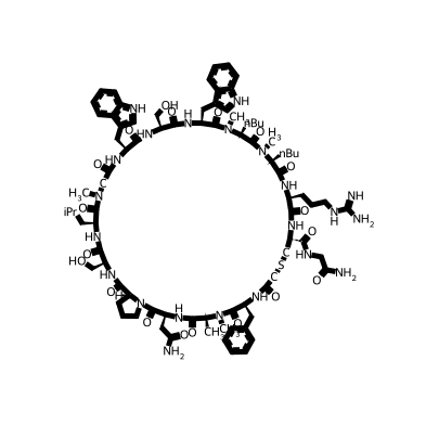 CCCC[C@H]1C(=O)N(C)[C@@H](CCCC)C(=O)N[C@@H](CCCNC(=N)N)C(=O)N[C@H](C(=O)NCC(N)=O)CSCC(=O)N[C@@H](Cc2ccccc2)C(=O)N(C)[C@@H](C)C(=O)N[C@@H](CC(N)=O)C(=O)N2CCC[C@H]2C(=O)N[C@@H](CO)C(=O)N[C@@H](CC(C)C)C(=O)N(C)CC(=O)N[C@@H](Cc2c[nH]c3ccccc23)C(=O)N[C@@H](CO)C(=O)N[C@@H](Cc2c[nH]c3ccccc23)C(=O)N1C